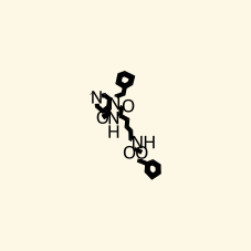 CN1CCC2(CC1)C(=O)NC(CCCCNC(=O)OCc1ccccc1)C(=O)N2CCc1ccccc1